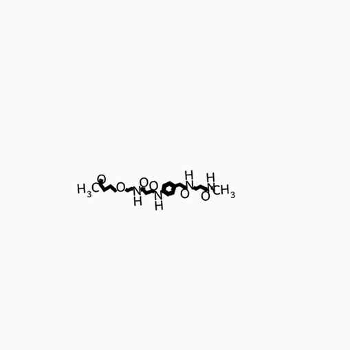 CNC(=O)CCNC(=O)Cc1ccc(NC(=O)CC(=O)NCCOCCCC(C)=O)cc1